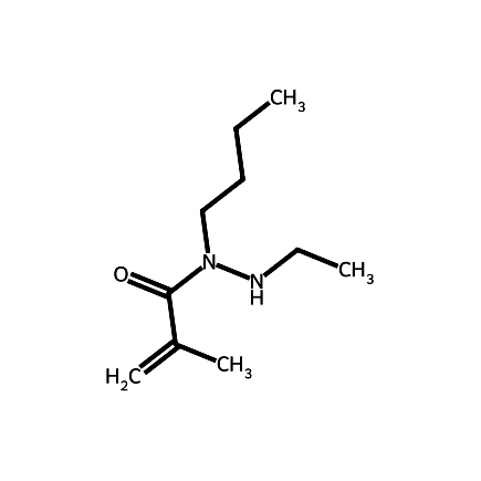 C=C(C)C(=O)N(CCCC)NCC